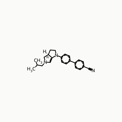 CC(C)CN1C=C2[C@H](CCN2c2ccc(-c3ccc(C#N)cc3)cc2)C1